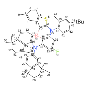 Cc1ccc2sc3c(c2c1)B1c2ccc4c(c2N(c2ccc5c(c2)C(C)(C)CCC5(C)C)c2cc(F)cc(c21)N3c1ccc(C(C)(C)C)cc1C)C(C)(C)CCC4(C)C